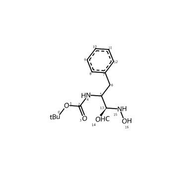 CC(C)(C)OC(=O)NC(Cc1ccccc1)[C@H](C=O)NO